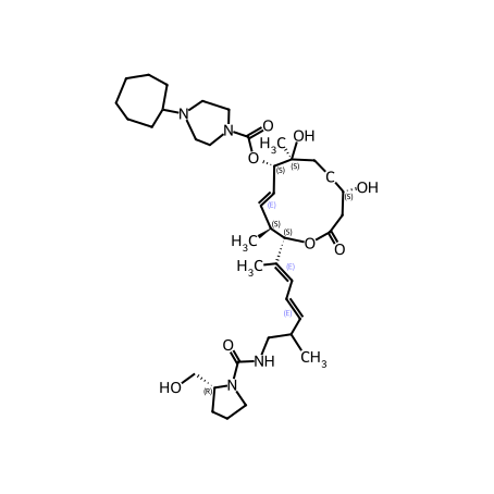 C/C(=C\C=C\C(C)CNC(=O)N1CCC[C@@H]1CO)[C@H]1OC(=O)C[C@@H](O)CC[C@](C)(O)[C@@H](OC(=O)N2CCN(C3CCCCCC3)CC2)/C=C/[C@@H]1C